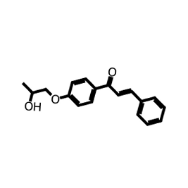 CC(O)COc1ccc(C(=O)C=Cc2ccccc2)cc1